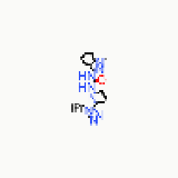 CC(C)n1cnnc1-c1cccc(NC(=O)Nc2nn(C)c3ccccc23)n1